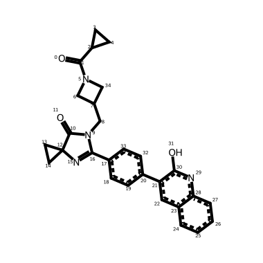 O=C(C1CC1)N1CC(CN2C(=O)C3(CC3)N=C2c2ccc(-c3cc4ccccc4nc3O)cc2)C1